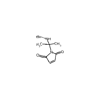 CC(C)(C)NC(C)(C)N1C(=O)C=CC1=O